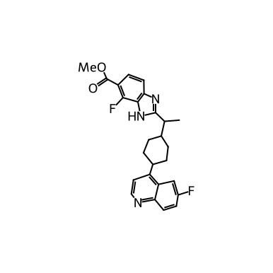 COC(=O)c1ccc2nc(C(C)C3CCC(c4ccnc5ccc(F)cc45)CC3)[nH]c2c1F